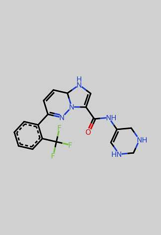 O=C(NC1=CNCNC1)C1=CNC2C=CC(c3ccccc3C(F)(F)F)=NN12